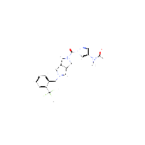 CC(=O)N(C)c1cnn(C(=O)N2CC3CN(Cc4ccccc4C(F)(F)F)CC3C2)c1